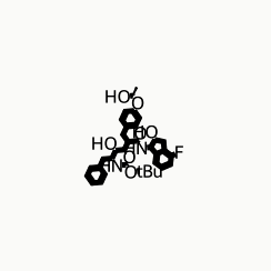 C[C@H](O)Oc1ccc(CC(CC(O)C(Cc2ccccc2)NC(=O)OC(C)(C)C)C(=O)NC2c3cccc(F)c3CC2O)cc1